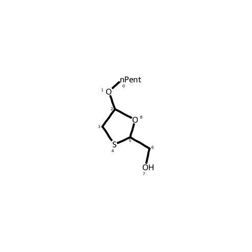 CCCCCOC1CSC(CO)O1